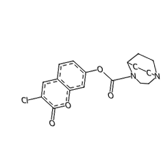 O=C(Oc1ccc2cc(Cl)c(=O)oc2c1)N1CCN2CCC1CC2